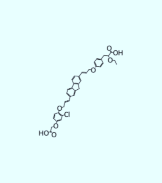 CCOC(Cc1ccc(OCC=Cc2ccc3c(c2)Cc2cc(C=CCOc4ccc(OCC(=O)O)cc4Cl)ccc2-3)cc1)C(=O)O